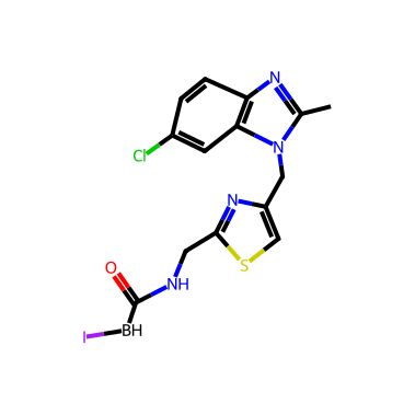 Cc1nc2ccc(Cl)cc2n1Cc1csc(CNC(=O)BI)n1